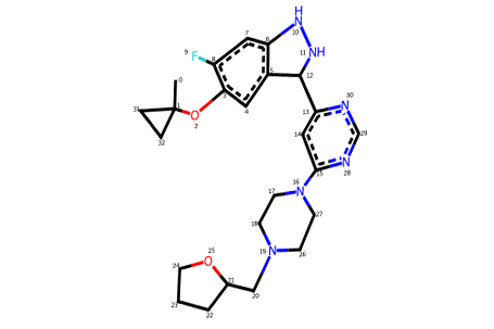 CC1(Oc2cc3c(cc2F)NNC3c2cc(N3CCN(CC4CCCO4)CC3)ncn2)CC1